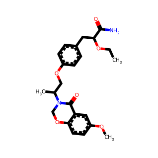 CCOC(Cc1ccc(OCC(C)N2COc3ccc(OC)cc3C2=O)cc1)C(N)=O